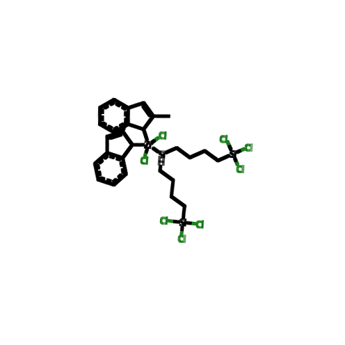 CC1=Cc2ccccc2[CH]1[Zr]([Cl])([Cl])([CH]1C(C)=Cc2ccccc21)[SiH](CCCC[Si](Cl)(Cl)Cl)CCCC[Si](Cl)(Cl)Cl